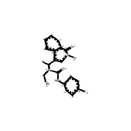 CCn1cc(C(C)N(CC(C)C)C(=O)Nc2ccc(F)cc2)c2ccccc2c1=O